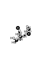 Cn1cc2c(nc1=O)Nc1c(OCCNc3nc(NC(=O)COc4ccccc4)nc4c3ncn4[C@H]3CC(O)[C@@H](CO)O3)cccc1O2